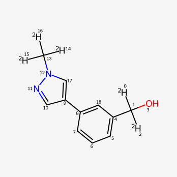 [2H]C([2H])(O)c1cccc(-c2cnn(C([2H])([2H])[2H])c2)c1